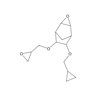 C1CC1COC1C2CC(C1OCC1CO1)C1OC21